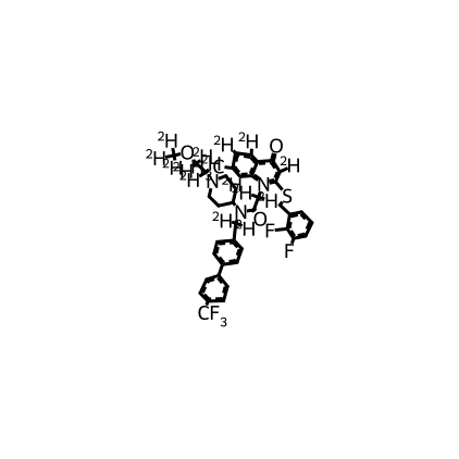 [2H]c1c(C)c([2H])c2c(c1[2H])c(=O)c([2H])c(SCc1cccc(F)c1F)n2C([2H])([2H])C(=O)N(C1CCN(C([2H])([2H])C([2H])([2H])OC([2H])([2H])[2H])CC1)C([2H])([2H])c1ccc(-c2ccc(C(F)(F)F)cc2)cc1